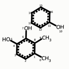 Cc1ccc(O)c(O)c1C.Oc1ccccc1